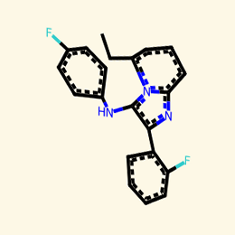 CCc1cccc2nc(-c3ccccc3F)c(Nc3ccc(F)cc3)n12